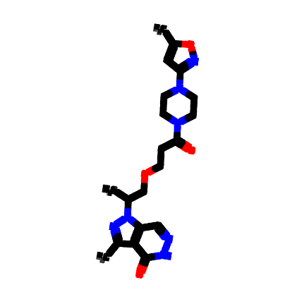 CC(COCCC(=O)N1CCN(c2cc(C(F)(F)F)on2)CC1)n1nc(C(F)(F)F)c2c(=O)[nH]ncc21